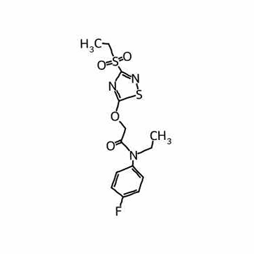 CCN(C(=O)COc1nc(S(=O)(=O)CC)ns1)c1ccc(F)cc1